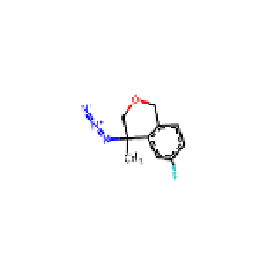 CC1(N=[N+]=[N-])COCc2ccc(F)cc21